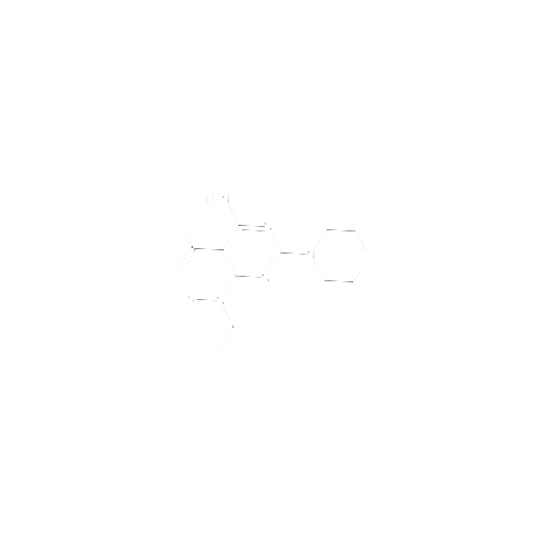 C=C(C)C1C(N)=NC(N2CCOCC2)=NC1N(N)CC